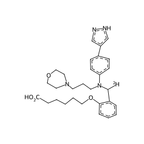 [2H]C(c1ccccc1OCCCCCC(=O)O)N(CCCN1CCOCC1)c1ccc(-c2cn[nH]c2)cc1